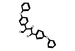 O=CC(C(=O)C(Br)c1ccc(Oc2ccccc2)cc1)c1ccc(Oc2ccccc2)cc1